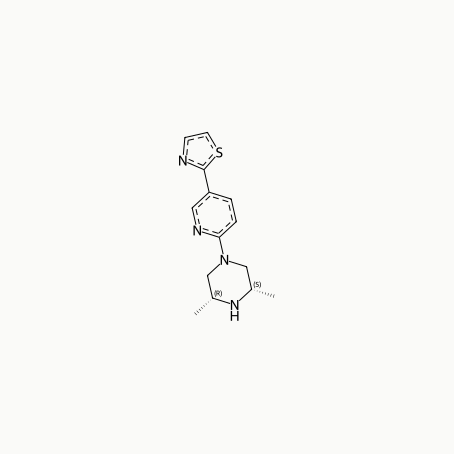 C[C@@H]1CN(c2ccc(-c3nccs3)cn2)C[C@H](C)N1